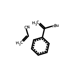 C=C(CCCC)c1ccccc1.C=CC#N